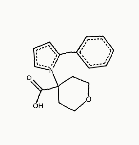 O=C(O)C1(n2cccc2-c2ccccc2)CCOCC1